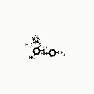 Cn1nnnc1Sc1ccc(C#N)cc1C(=O)Nc1ccc(C(F)(F)F)cc1